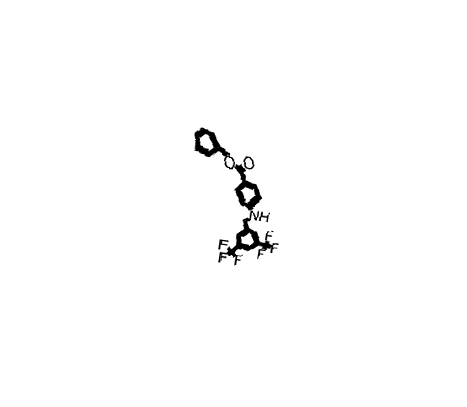 O=C(OCc1ccccc1)c1ccc(NCc2cc(C(F)(F)F)cc(C(F)(F)F)c2)cc1